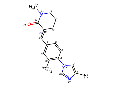 CCc1cn(-c2ccc(/C=C3\CCCN(C)C3=O)cc2C)cn1